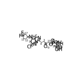 CO[C@@H](CCc1ncc2c(NC3CCC(F)(F)C3)cc(Cl)nn12)COP(=O)(O)CP(=O)(O)O